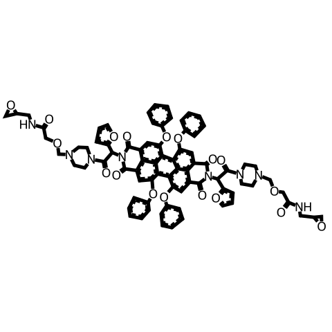 O=C(COCN1CCN(C(=O)C(c2ccco2)N2C(=O)c3cc(Oc4ccccc4)c4c5c(Oc6ccccc6)cc6c7c(cc(Oc8ccccc8)c(c8c(Oc9ccccc9)cc(c3c48)C2=O)c75)C(=O)N(C(C(=O)N2CCN(COCC(=O)NCC3CO3)CC2)c2ccco2)C6=O)CC1)NCC1CO1